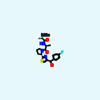 CN[C@@H](C)C(=O)N[C@@H](C)C(=O)N1CCC[C@H]1c1nc(C(=O)c2ccc(F)cc2)cs1